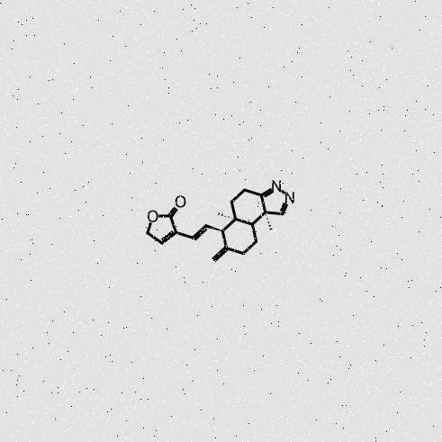 C=C1CCC2[C@](C)(CCC3=NN=C[C@]32C)[C@@H]1/C=C/C1=CCOC1=O